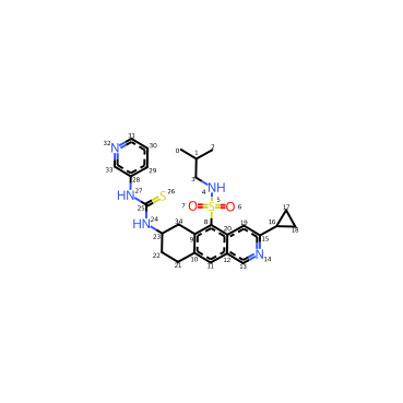 CC(C)CNS(=O)(=O)c1c2c(cc3cnc(C4CC4)cc13)CCC(NC(=S)Nc1cccnc1)C2